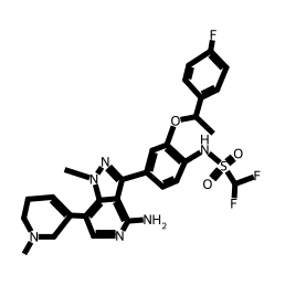 CC(Oc1cc(-c2nn(C)c3c(C4=CCCN(C)C4)cnc(N)c23)ccc1NS(=O)(=O)C(F)F)c1ccc(F)cc1